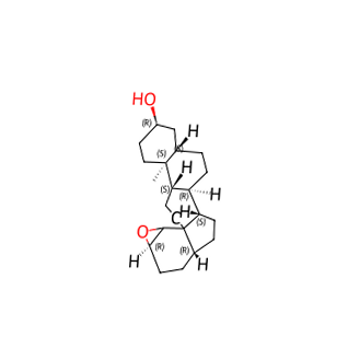 C[C@]12CC[C@@H](O)C[C@@H]1CC[C@H]1[C@@H]3CC[C@@H]4CC[C@H]5OC5C43CC[C@@H]12